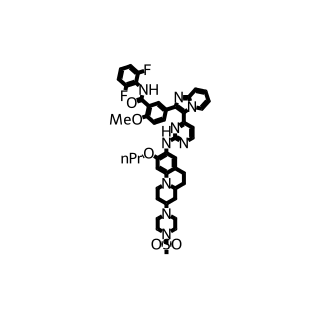 CCCOc1cc2c(cc1Nc1nccc(-c3c(-c4ccc(OC)c(C(=O)Nc5c(F)cccc5F)c4)nc4ccccn34)n1)CCC1CC(N3CCN(S(C)(=O)=O)CC3)CCN21